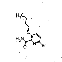 CCCCSc1ccc(Br)nc1C(N)=O